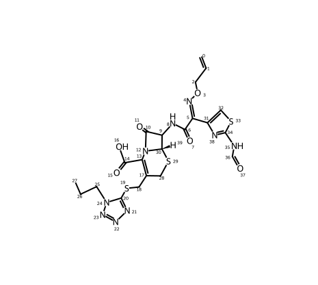 C=CCON=C(C(=O)NC1C(=O)N2C(C(=O)O)=C(CSc3nnnn3CCC)CS[C@@H]12)c1csc(NC=O)n1